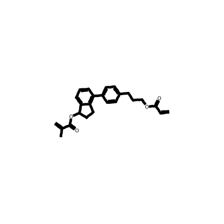 C=CC(=O)OCCCc1ccc(-c2cccc3c2CCC3OC(=O)C(=C)C)cc1